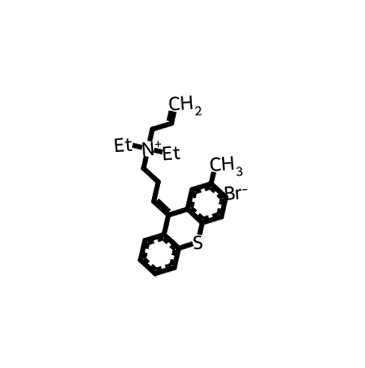 C=CC[N+](CC)(CC)CC/C=C1/c2ccccc2Sc2ccc(C)cc21.[Br-]